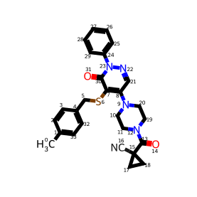 Cc1ccc(CSc2c(N3CCN(C(=O)C4(C#N)CC4)CC3)cnn(-c3ccccc3)c2=O)cc1